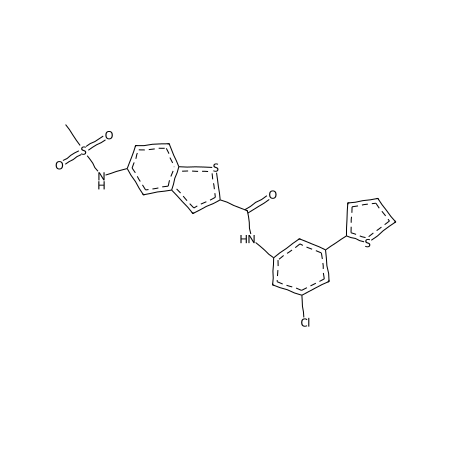 CS(=O)(=O)Nc1ccc2sc(C(=O)Nc3cc(Cl)cc(-c4cccs4)c3)cc2c1